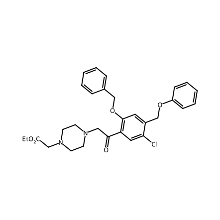 CCOC(=O)CN1CCN(CC(=O)c2cc(Cl)c(COc3ccccc3)cc2OCc2ccccc2)CC1